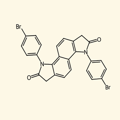 O=C1Cc2ccc3c4c(ccc3c2N1c1ccc(Br)cc1)CC(=O)N4c1ccc(Br)cc1